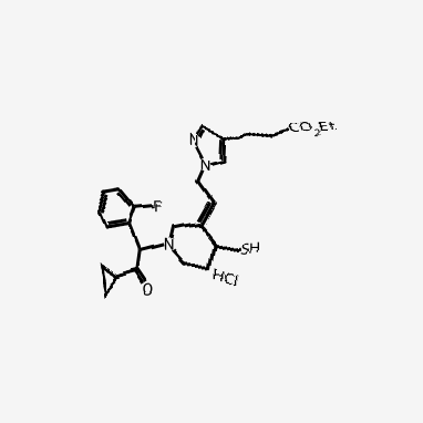 CCOC(=O)CCc1cnn(C/C=C2\CN(C(C(=O)C3CC3)c3ccccc3F)CCC2S)c1.Cl